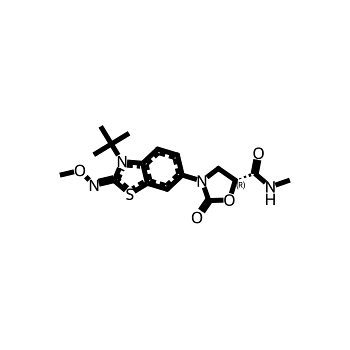 CNC(=O)[C@H]1CN(c2ccc3c(c2)sc(=NOC)n3C(C)(C)C)C(=O)O1